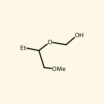 CCC(COC)OCO